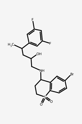 CC(CC(O)CNC1CCS(=O)(=O)c2ccc(Br)cc21)c1cc(F)cc(F)c1